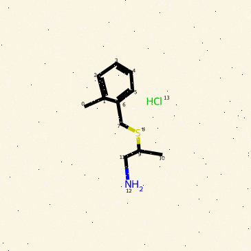 Cc1ccccc1CSC(C)CN.Cl